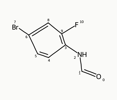 O=[C]Nc1ccc(Br)cc1F